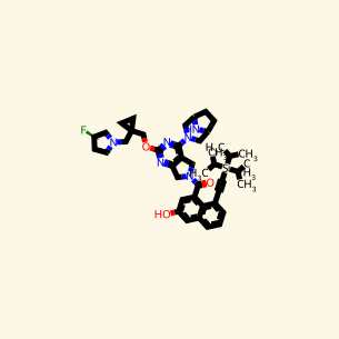 CC(C)[Si](C#Cc1cccc2cc(O)cc(C(=O)N3Cc4nc(OCC5(CN6CC[C@@H](F)C6)CC5)nc(N5CC6CCC(C5)N6)c4C3)c12)(C(C)C)C(C)C